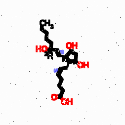 [2H][C@@](O)(/C=C/[C@@H]1[C@@H](C/C=C\CCCC(=O)O)[C@@H](O)C[C@H]1O)CCCCC